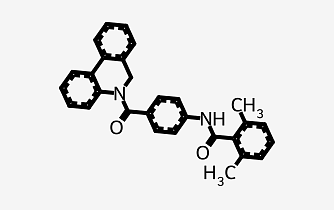 Cc1cccc(C)c1C(=O)Nc1ccc(C(=O)N2Cc3ccccc3-c3ccccc32)cc1